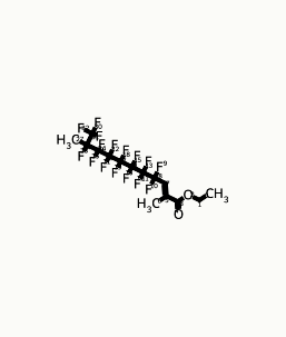 CCOC(=O)C(C)=CC(F)(F)C(F)(F)C(F)(F)C(F)(F)C(F)(F)C(F)(F)C(C)(F)C(F)(F)F